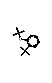 CC(C)(C)Oc1ccccc1C(C)(C)C